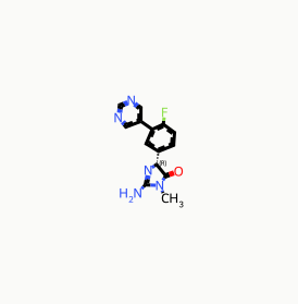 CN1C(=O)[C@@H](c2ccc(F)c(-c3cncnc3)c2)N=C1N